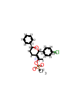 C/C(OS(=O)(=O)C(F)(F)F)=C1/CC[C@@H](c2ccccc2)O[C@H]1c1ccc(Cl)cc1